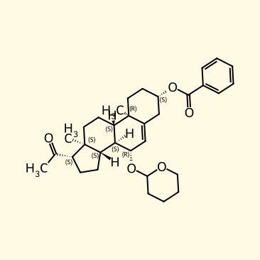 CC(=O)[C@H]1CC[C@H]2[C@@H]3[C@@H](OC4CCCCO4)C=C4C[C@@H](OC(=O)c5ccccc5)CC[C@]4(C)[C@H]3CC[C@]12C